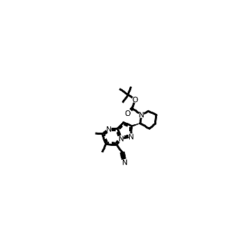 Cc1nc2cc([C@@H]3CCCCN3C(=O)OC(C)(C)C)nn2c(C#N)c1C